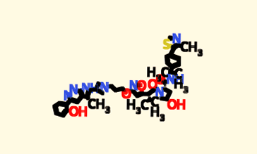 Cc1ncsc1-c1ccc(C(C)(C)NC(=O)[C@@H]2C[C@@H](O)CN2C(=O)[C@@H](c2cc(OCCCN3CC(c4[nH]c5nnc(-c6ccccc6O)cc5c4C)C3)no2)C(C)C)cc1